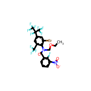 CCOCN(C(=O)c1cccc([N+](=O)[O-])c1F)c1c(Br)cc(C(F)(C(F)(F)F)C(F)(F)F)cc1C(F)(F)F